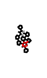 Cc1c(-c2ccccc2)nc(-c2ccccc2-c2cccc(-c3ccccc3C#N)c2-c2ccccc2-c2nc(-c3ccccc3)c(C)c(-c3ccccc3)n2)nc1-c1ccccc1